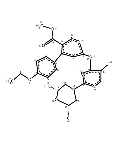 CCOc1ccc(-c2cc(Nc3nc(N4C[C@@H](C)O[C@@H](C)C4)ncc3F)nnc2C(=O)OC)cc1